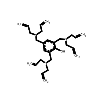 C=CCN(CC=C)Cc1cc(CN(CC=C)CC=C)c(O)c(CN(CC=C)CC=C)c1